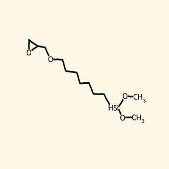 CO[SiH](CCCCCCCCOCC1CO1)OC